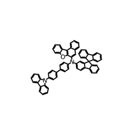 c1ccc2c(c1)-c1ccccc1C21c2ccccc2-c2ccc(N(c3ccc(-c4ccc(-n5c6ccccc6c6ccccc65)cc4)cc3)c3cc4ccccc4c4c3oc3ccccc34)cc21